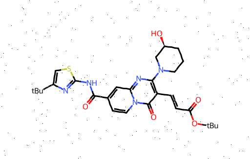 CC(C)(C)OC(=O)C=Cc1c(N2CCC[C@H](O)C2)nc2cc(C(=O)Nc3nc(C(C)(C)C)cs3)ccn2c1=O